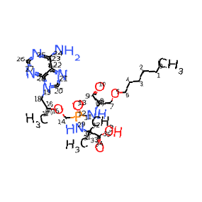 CCCCCCOC[C@H](C=O)NP(=O)(CO[C@H](C)Cn1cnc2c(N)ncnc21)NC(C)(C)C(=O)O